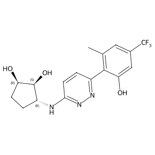 Cc1cc(C(F)(F)F)cc(O)c1-c1ccc(N[C@@H]2CC[C@@H](O)[C@H]2O)nn1